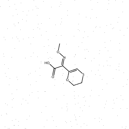 CO/N=C(\C(=O)O)C1=CSCCO1